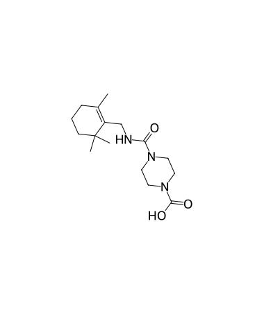 CC1=C(CNC(=O)N2CCN(C(=O)O)CC2)C(C)(C)CCC1